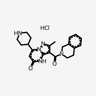 Cc1nn2c(C3CCNCC3)cc(=O)[nH]c2c1C(=O)N1CCc2ccccc2C1.Cl